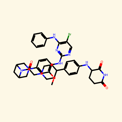 COc1cc(N2CC3CC(C2)N3C(=O)CN2CCC(c3ccc(NC4CCC(=O)NC4=O)cc3)CC2)ccc1Nc1ncc(Br)c(Nc2ccccc2)n1